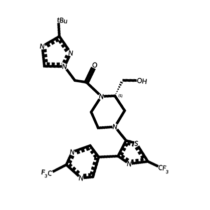 CC(C)(C)c1ncn(CC(=O)N2CCN(c3sc(C(F)(F)F)nc3-c3cnc(C(F)(F)F)nc3)C[C@H]2CO)n1